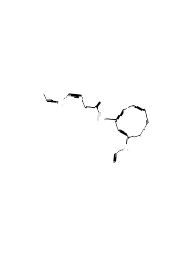 C/C=N\C=C/CC(=O)NC1=C/C=C\CC/C(NC=S)=C\1